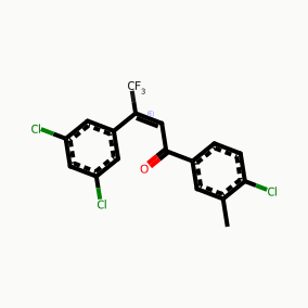 Cc1cc(C(=O)/C=C(\c2cc(Cl)cc(Cl)c2)C(F)(F)F)ccc1Cl